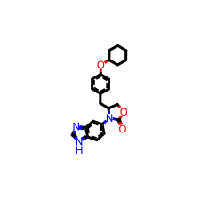 O=C1OCC(Cc2ccc(OC3CCCCC3)cc2)N1c1ccc2[nH]cnc2c1